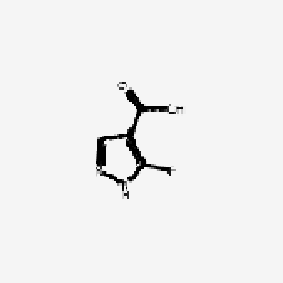 O=C(O)c1cn[nH]c1F